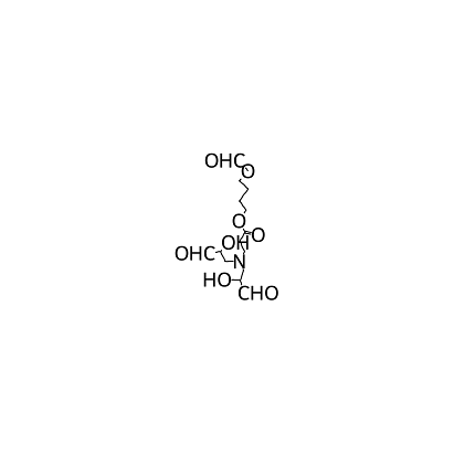 O=COCCCCOC(=O)CCN(CC(O)C=O)CC(O)C=O